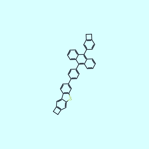 c1ccc2c(-c3ccc4c(c3)CC4)c3ccccc3c(-c3ccc(-c4ccc5c(c4)sc4cc6c(cc45)CC6)cc3)c2c1